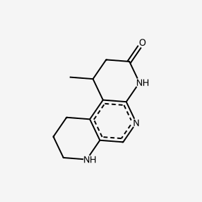 CC1CC(=O)Nc2ncc3c(c21)CCCN3